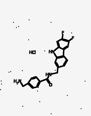 Cl.NCc1ccc(C(=O)NCc2ccc3c(c2)[nH]c2cc(F)c(F)cc23)cc1